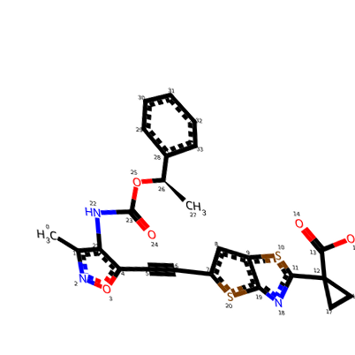 Cc1noc(C#Cc2cc3sc(C4(C(=O)O)CC4)nc3s2)c1NC(=O)O[C@H](C)c1ccccc1